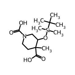 CC1(C(=O)O)CCN(C(=O)O)CC1O[Si](C)(C)C(C)(C)C